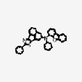 c1ccc(-c2nc3c(s2)-c2cc(N(c4ccccc4)c4cccc5c4oc4ccccc45)cc4cccc-3c24)cc1